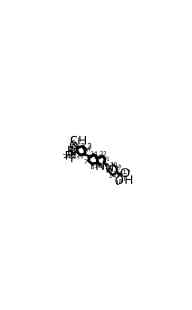 COc1ccc(-c2ccc3nc(N4CCC(C(=O)O)CC4)ccc3c2)cc1C(F)(F)F